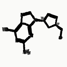 Nc1nc(O)c2ncn([C@H]3C=C[C@@H](C[O])C3)c2n1